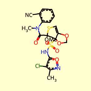 COC1(C(=O)N(C)c2ccccc2C#N)SC=C2OCOC21S(=O)(=O)Nc1onc(C)c1Cl